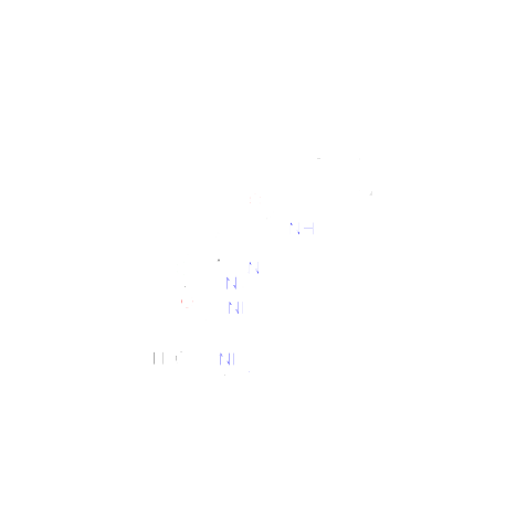 CC(N)C(=O)Nn1nc(C(=O)NC2CCCCC2)cc1Cl